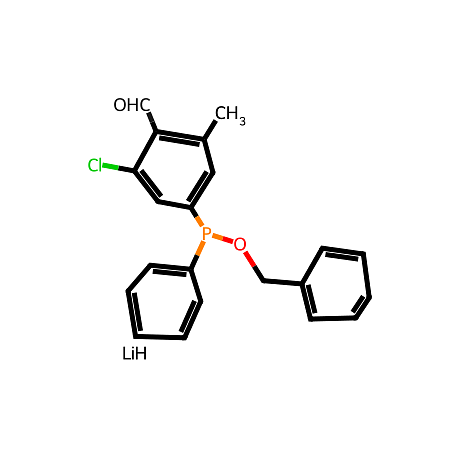 Cc1cc(P(OCc2ccccc2)c2ccccc2)cc(Cl)c1C=O.[LiH]